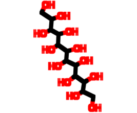 OCC(O)C(O)C(O)C(O)C(O)C(O)C(O)C(O)C(O)C(O)CO